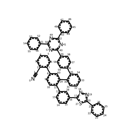 N#Cc1ccccc1-c1ccc(-c2cccc(-c3nnc(-c4ccccc4)s3)c2)c(-c2ccccc2-c2ccc(-c3nc(-c4ccccc4)nc(-c4ccccc4)n3)cc2)c1